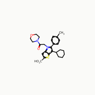 Cc1ccc(-c2c(C3CCCCC3)c3sc(C(=O)O)cc3n2CC(=O)N2CCOCC2)cc1